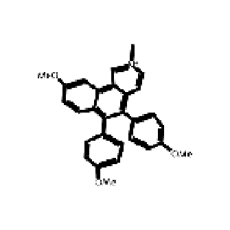 COc1ccc(-c2c(-c3ccc(OC)cc3)c3cc[n+](C)cc3c3cc(OC)ccc23)cc1